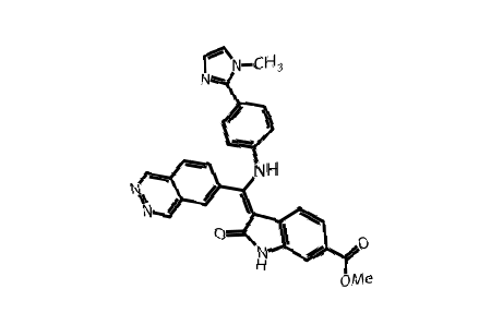 COC(=O)c1ccc2c(c1)NC(=O)C2=C(Nc1ccc(-c2nccn2C)cc1)c1ccc2cnncc2c1